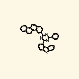 c1ccc(-c2nc(-c3ccc4ccc5c6ccccc6ccc5c4c3)nc(-c3cccc4sc5ccccc5c34)n2)cc1